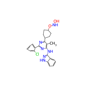 Cc1c(Nc2n[nH]c3ccccc23)nc(-c2ccccc2Cl)nc1C1CCC(ONO)CC1